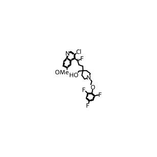 COc1ccc2ncc(Cl)c([C@@H](F)CCC3(CO)CCN(CCOc4c(F)cc(F)cc4F)CC3)c2c1